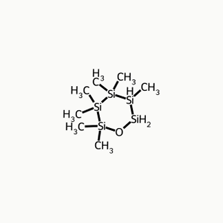 C[SiH]1[SiH2]O[Si](C)(C)[Si](C)(C)[Si]1(C)C